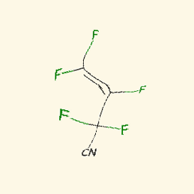 N#CC(F)(F)C(F)=C(F)F